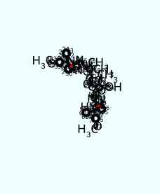 CCOC1C(OP(C)(=O)OC[C@H]2O[C@@H](n3cnc4c(NC(c5ccccc5)(c5ccccc5)c5ccc(OC)cc5)ncnc43)C(C)C2C)[C@H](n2cnc3c(NC(c4ccccc4)(c4ccccc4)c4ccc(OC)cc4)ncnc32)O[C@@H]1CO